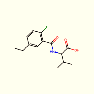 CCc1ccc(F)c(C(=O)N[C@@H](C(=O)O)C(C)C)c1